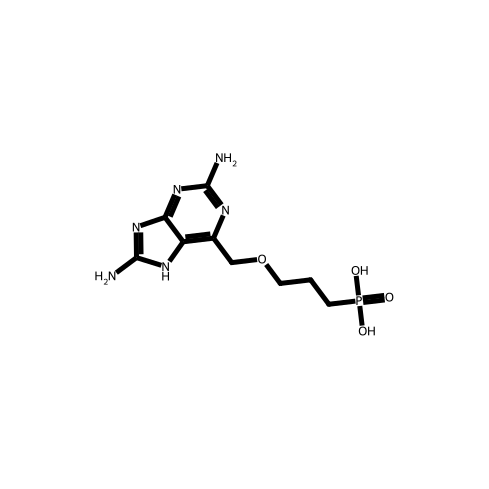 Nc1nc(COCCCP(=O)(O)O)c2[nH]c(N)nc2n1